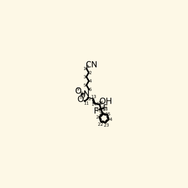 N#CCCCCCCN1C(=O)OC[C@@H]1C=C[C@H](O)C(F)(F)c1ccccc1